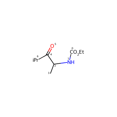 CCOC(=O)NC(C)C(=O)C(C)C